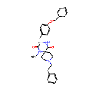 CCCN1C(=O)[C@H](Cc2ccc(OCc3ccccc3)cc2)NC(=O)C12CCN(CCc1ccccc1)CC2